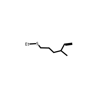 [CH2]CSCCCC(C)C=C